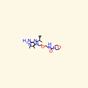 Cc1nc(N)c2nc(C(C)C3CC3)n(CCOCCNC(=O)N3CCOCC3)c2c1C